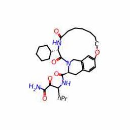 CCCC(NC(=O)[C@@H]1Cc2ccc3cc2CN1C(=O)[C@H](C1CCCCC1)NC(=O)CCCCCCO3)C(=O)C(N)=O